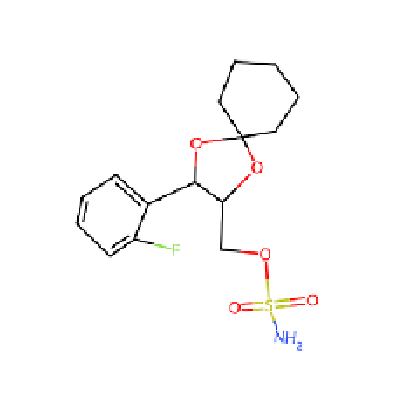 NS(=O)(=O)OCC1OC2(CCCCC2)OC1c1ccccc1F